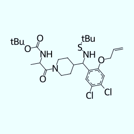 C=CCOc1cc(Cl)c(Cl)cc1C(NSC(C)(C)C)C1CCN(C(=O)C(C)NC(=O)OC(C)(C)C)CC1